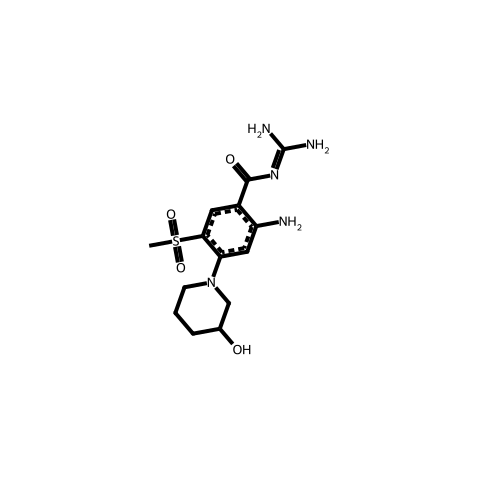 CS(=O)(=O)c1cc(C(=O)N=C(N)N)c(N)cc1N1CCCC(O)C1